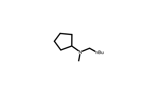 CCCCCN(C)C1CCCC1